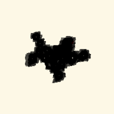 N#Cc1ccc(-n2c3ccc(-c4ccccc4)cc3c3cc(-c4ccccc4)ccc32)c(-c2nc(-c3ccccc3)nc(-c3ccc(-n4c5ccc(-c6ccccc6)cc5c5cc(-c6ccccc6)ccc54)c(-c4cccc(C#N)c4-n4c5ccc(-c6ccccc6)cc5c5cc(-c6ccccc6)ccc54)c3)n2)c1